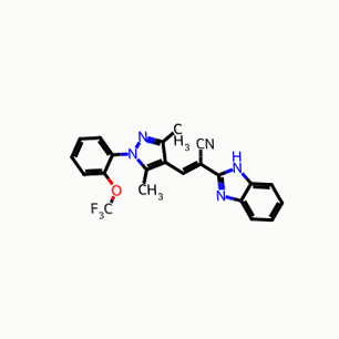 Cc1nn(-c2ccccc2OC(F)(F)F)c(C)c1C=C(C#N)c1nc2ccccc2[nH]1